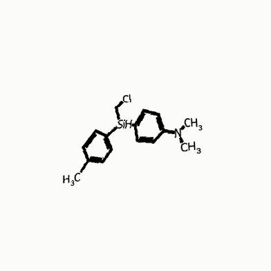 Cc1ccc([SiH](CCl)c2ccc(N(C)C)cc2)cc1